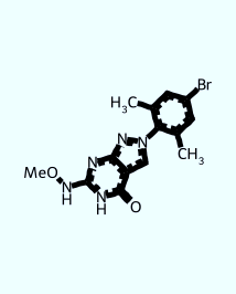 CONc1nc2nn(-c3c(C)cc(Br)cc3C)cc2c(=O)[nH]1